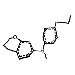 CCCc1ccc(N(C)c2ccc3c(c2)OCCC3)cc1